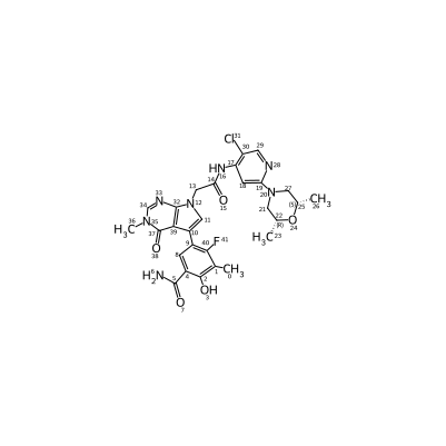 Cc1c(O)c(C(N)=O)cc(-c2cn(CC(=O)Nc3cc(N4C[C@@H](C)O[C@@H](C)C4)ncc3Cl)c3ncn(C)c(=O)c23)c1F